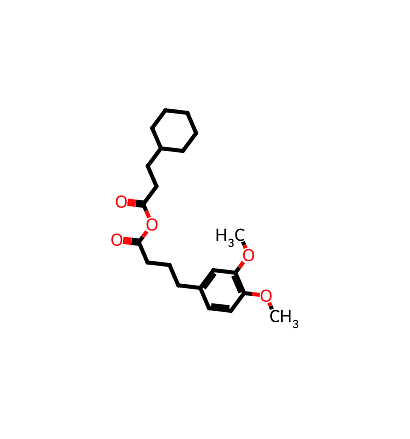 COc1ccc(CCCC(=O)OC(=O)CCC2CCCCC2)cc1OC